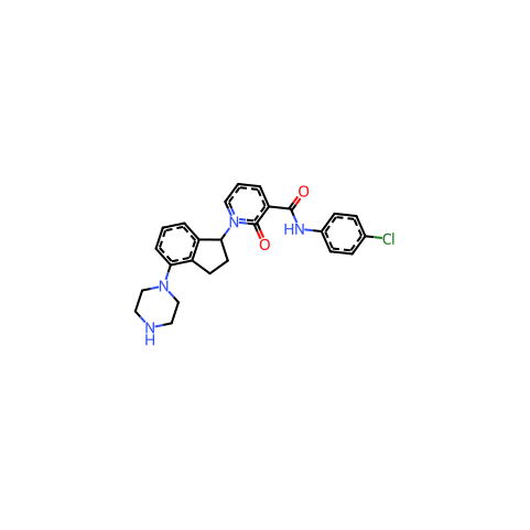 O=C(Nc1ccc(Cl)cc1)c1cccn(C2CCc3c2cccc3N2CCNCC2)c1=O